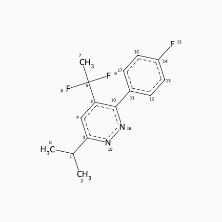 CC(C)c1cc(C(C)(F)F)c(-c2ccc(F)cc2)nn1